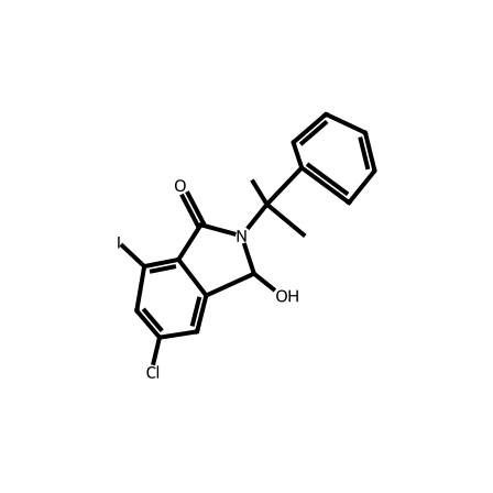 CC(C)(c1ccccc1)N1C(=O)c2c(I)cc(Cl)cc2C1O